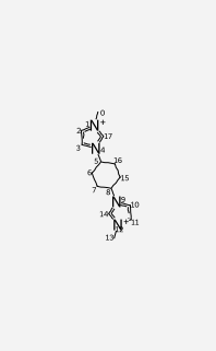 C[n+]1ccn(C2CCC(n3cc[n+](C)c3)CC2)c1